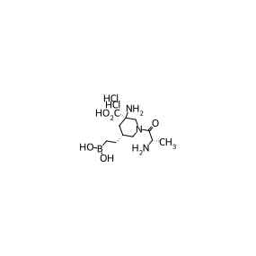 C[C@H](N)C(=O)N1C[C@H](CCB(O)O)C[C@](N)(C(=O)O)C1.Cl.Cl